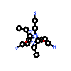 N#Cc1ccc(-c2ccc(-c3nc(-c4ccc(-c5ccc(C#N)cc5)cc4-n4c5ccc(-c6ccccc6)cc5c5cc(-c6ccccc6)ccc54)nc(-c4ccc(-c5ccc(C#N)cc5)cc4-n4c5ccc(-c6ccccc6)cc5c5cc(-c6ccccc6)ccc54)n3)cc2)cc1